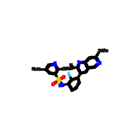 CNc1cnc(OC)c(S(=O)(=O)Nc2cccc(-c3cc4cnc(NC)cc4nc3C)c2F)c1